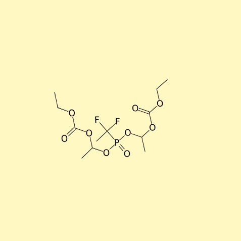 CCOC(=O)OC(C)OP(=O)(OC(C)OC(=O)OCC)C(C)(F)F